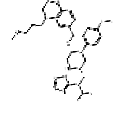 COCCCN1CCOc2ccc(CO[C@H]3CN[C@@H](CC(c4nnn[nH]4)C(C)C)C[C@@H]3c3ccc(OC)cc3)cc21